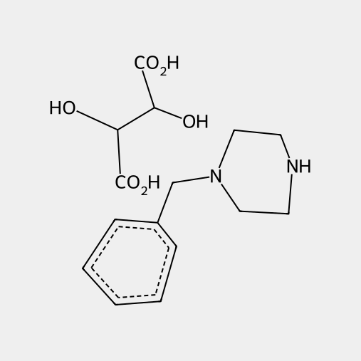 O=C(O)C(O)C(O)C(=O)O.c1ccc(CN2CCNCC2)cc1